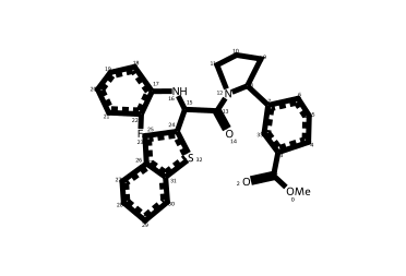 COC(=O)c1cccc(C2CCCN2C(=O)C(Nc2ccccc2F)c2cc3ccccc3s2)c1